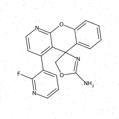 NC1=NC2(CO1)c1ccccc1Oc1nccc(-c3cccnc3F)c12